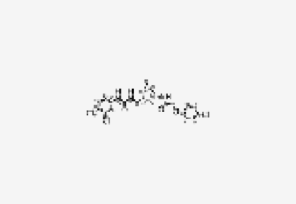 O=C(COc1ccc(Cl)cc1)NC1CC(CNC(=O)Nc2ccc(Cl)c(Cl)c2)C2CC12